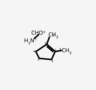 CC1=C(C)CCC1.NC=O